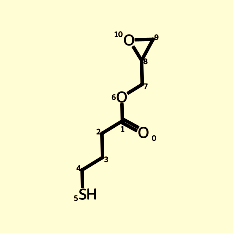 O=C(CCCS)OCC1CO1